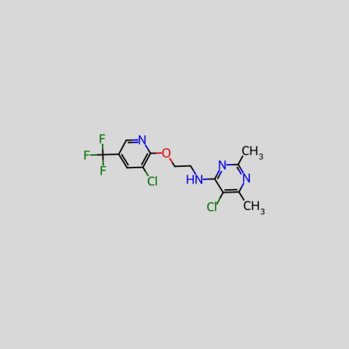 Cc1nc(C)c(Cl)c(NCCOc2ncc(C(F)(F)F)cc2Cl)n1